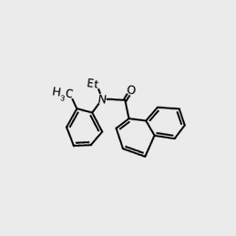 CCN(C(=O)c1cccc2ccccc12)c1ccccc1C